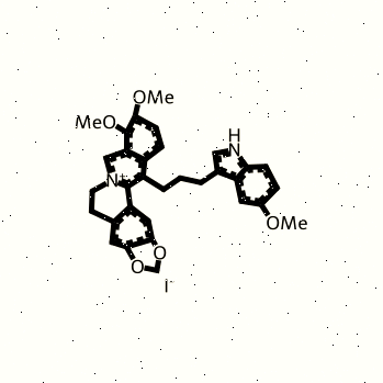 COc1ccc2[nH]cc(CCCc3c4[n+](cc5c(OC)c(OC)ccc35)CCc3cc5c(cc3-4)OCO5)c2c1.[I-]